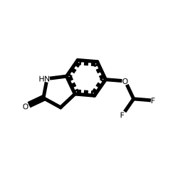 O=C1Cc2cc(OC(F)F)ccc2N1